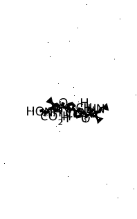 Cc1c(NC(=O)c2cc(C3CC3)c(CNC3CC3)cn2)cccc1-c1cccc(NC(=O)c2cc(C3CC3)c(CN[C@H](CO)C(=O)O)cn2)c1C